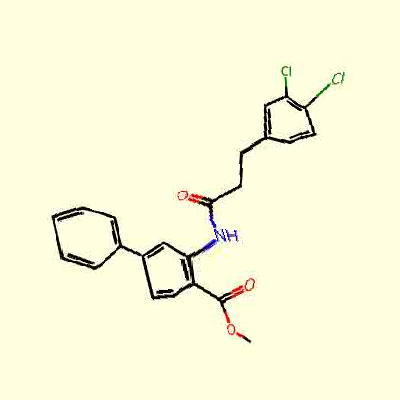 COC(=O)c1ccc(-c2ccccc2)cc1NC(=O)CCc1ccc(Cl)c(Cl)c1